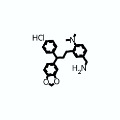 CN(C)c1ccc(CN)cc1CCC(c1ccccc1)c1ccc2c(c1)OCO2.Cl